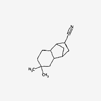 CC1(C)CCC2C3CC(CC3C#N)C2C1